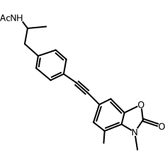 CC(=O)NC(C)Cc1ccc(C#Cc2cc(C)c3c(c2)oc(=O)n3C)cc1